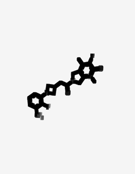 Cc1c2c(n(C)c(=O)c1F)CN(C(=O)CC1CN(c3cccc(C(F)(F)F)c3F)C1)C2